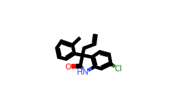 C=CCC1(c2ccccc2C)C(=O)Nc2cc(Cl)ccc21